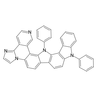 c1ccc(-n2c3ccccc3c3c2ccc2c4ccc5c(c6cnccc6c6nccn56)c4n(-c4ccccc4)c23)cc1